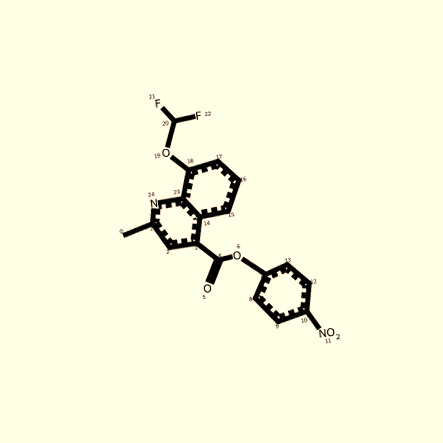 Cc1cc(C(=O)Oc2ccc([N+](=O)[O-])cc2)c2cccc(OC(F)F)c2n1